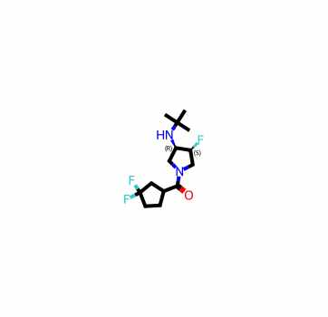 CC(C)(C)N[C@@H]1CN(C(=O)C2CCC(F)(F)C2)C[C@@H]1F